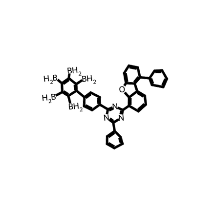 Bc1c(B)c(B)c(-c2ccc(-c3nc(-c4ccccc4)nc(-c4cccc5c4oc4cccc(-c6ccccc6)c45)n3)cc2)c(B)c1B